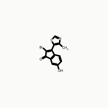 Cc1ncsc1C1=C(Br)C(=O)c2cc(O)ccc21